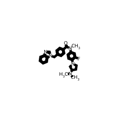 CN(C(=O)c1ccc(Cn2cnc3ccccc32)cc1)c1ccc(N2CCC(N(C)C)C2)c(F)c1